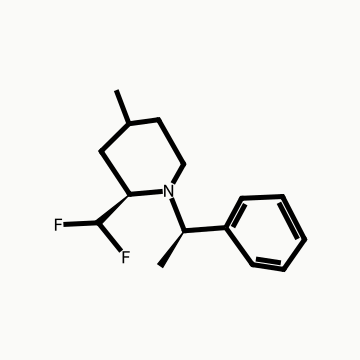 CC1CCN([C@H](C)c2ccccc2)[C@@H](C(F)F)C1